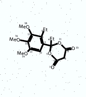 CCc1c(C2(CC)OC(=O)CC(=O)O2)cc(OC)c(OC)c1OC